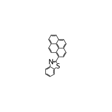 c1cc2ccc3ccc(-c4nc5ccccc5s4)c4ccc(c1)c2c34